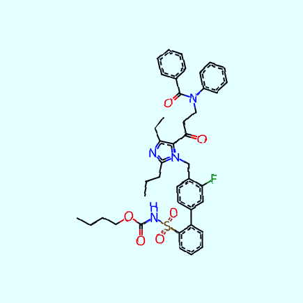 CCCCOC(=O)NS(=O)(=O)c1ccccc1-c1ccc(Cn2c(CCC)nc(CC)c2C(=O)CCN(C(=O)c2ccccc2)c2ccccc2)c(F)c1